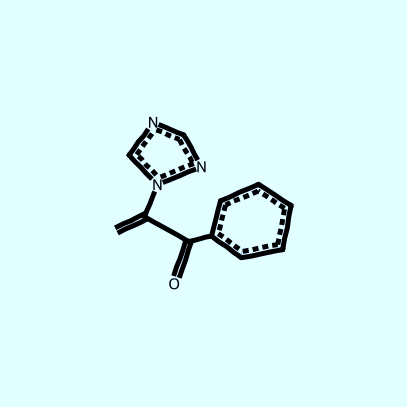 C=C(C(=O)c1ccccc1)n1cncn1